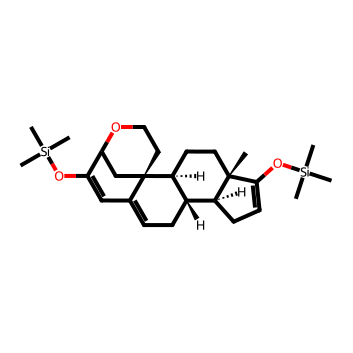 C[C@]12CC[C@H]3[C@@H](CC=C4C=C(O[Si](C)(C)C)C5C[C@@]43CCO5)[C@@H]1CC=C2O[Si](C)(C)C